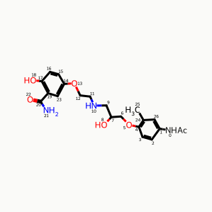 CC(=O)Nc1ccc(OCC(O)CNCCOc2ccc(O)c(C(N)=O)c2)c(C)c1